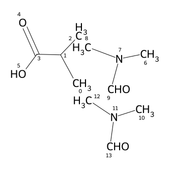 CC(C)C(=O)O.CN(C)C=O.CN(C)C=O